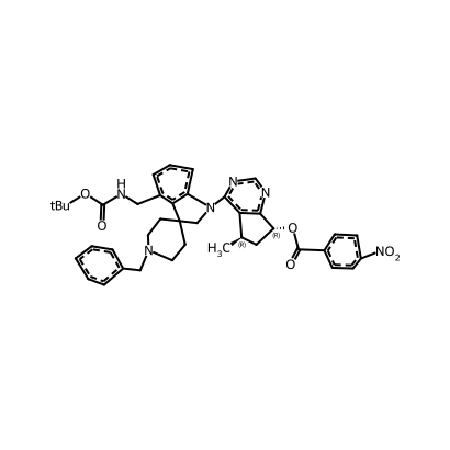 C[C@@H]1C[C@@H](OC(=O)c2ccc([N+](=O)[O-])cc2)c2ncnc(N3CC4(CCN(Cc5ccccc5)CC4)c4c(CNC(=O)OC(C)(C)C)cccc43)c21